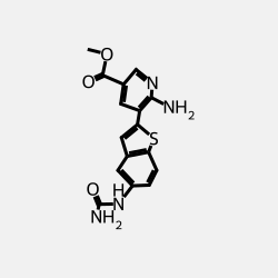 COC(=O)c1cnc(N)c(-c2cc3cc(NC(N)=O)ccc3s2)c1